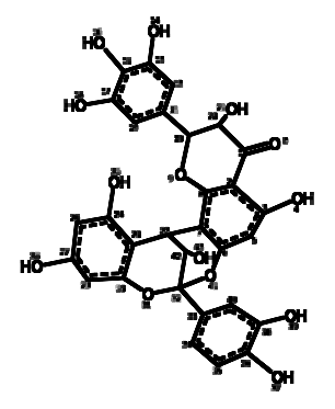 O=C1c2c(O)cc3c(c2OC(c2cc(O)c(O)c(O)c2)C1O)C1c2c(O)cc(O)cc2OC(c2ccc(O)c(O)c2)(O3)C1O